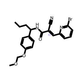 CCCC(NC(=O)/C(C#N)=C/c1cccc(Br)n1)c1ccc(OCOC)cc1